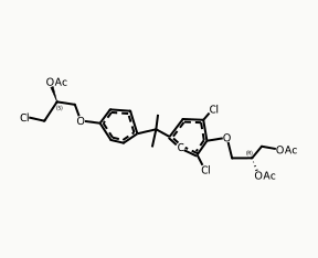 CC(=O)OC[C@@H](COc1c(Cl)cc(C(C)(C)c2ccc(OC[C@@H](CCl)OC(C)=O)cc2)cc1Cl)OC(C)=O